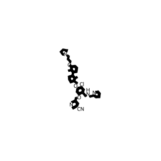 Cc1c(COc2cc(OCc3cncc(C#N)c3)c(CNCc3ccccn3)cc2Cl)cccc1-c1cccc(OCCCN2CCCC2)c1C